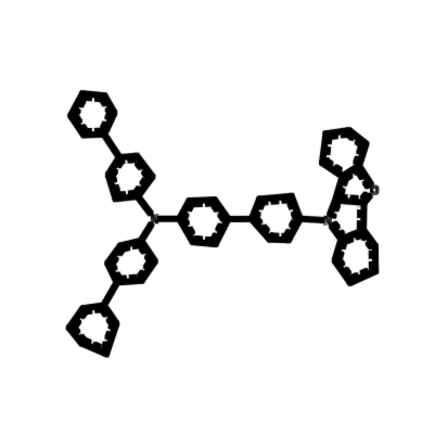 c1ccc(-c2ccc(N(c3ccc(-c4ccccc4)cc3)c3ccc(-c4ccc(-n5c6ccccc6c6oc7ccccc7c65)cc4)cc3)cc2)cc1